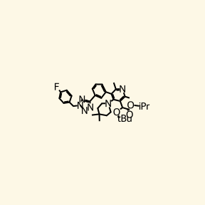 Cc1nc(C)c(C(OC(C)(C)C)C(=O)OC(C)C)c(N2CCC(C)(C)CC2)c1-c1cccc(-c2nnn(Cc3ccc(F)cc3)n2)c1